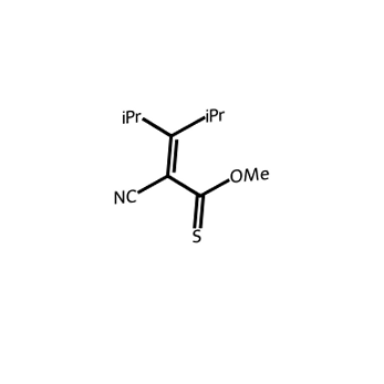 COC(=S)C(C#N)=C(C(C)C)C(C)C